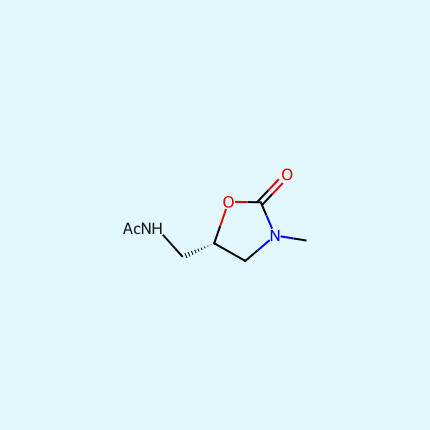 CC(=O)NC[C@H]1CN(C)C(=O)O1